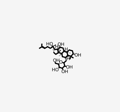 CC(C)=CCC[C@](C)(O)[C@H]1CC[C@]2(C)[C@@H]1[C@H](O)C[C@@H]1[C@@]3(C)CC[C@H](O)C(C)(C)[C@@H]3[C@@H](CC3OC(CO)C(O)C(O)C3O)C[C@]12C